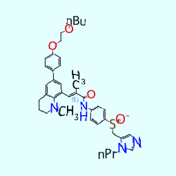 CCCCOCCOc1ccc(-c2cc(/C=C(\C)C(=O)Nc3ccc([S+]([O-])Cc4cncn4CCC)cc3)c3c(c2)CCCN3C)cc1